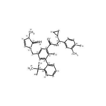 Cc1cc([C@@H](NC(=O)c2cc(Cn3ccn(C)c3=N)cc(-c3cccnc3C(C)(F)F)c2F)C2CC2)ccc1F